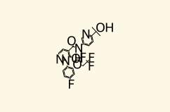 CC(C)(O)c1ccc(NC(=O)c2ccnn(-c3ccc(F)cc3OCC(F)(F)F)c2=O)cn1